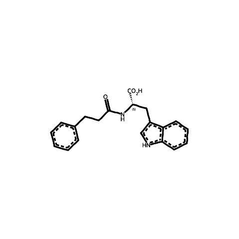 O=C(CCc1ccccc1)N[C@@H](Cc1c[nH]c2ccccc12)C(=O)O